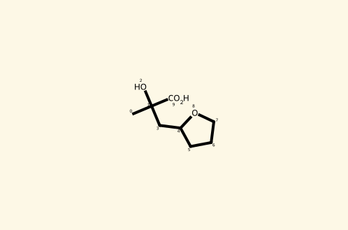 CC(O)(CC1CCCO1)C(=O)O